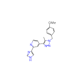 COc1ccc(Cn2nnc(-c3ccnc(-c4c[nH]cn4)c3)c2C)cc1